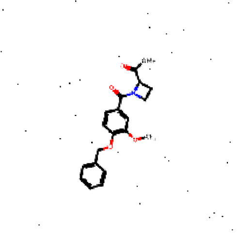 COC(=O)C1CCN1C(=O)c1ccc(OCc2ccccc2)c(OC(F)(F)F)c1